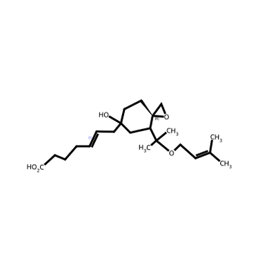 CC(C)=CCOC(C)(C)C1CC(O)(C/C=C/CCCC(=O)O)CC[C@]12CO2